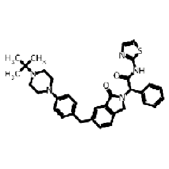 CC(C)(C)N1CCN(c2ccc(Cc3ccc4c(c3)C(=O)N(C(C(=O)Nc3nccs3)c3ccccc3)C4)cc2)CC1